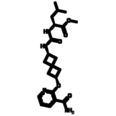 COC(=O)[C@H](CC(C)C)NC(=O)N[C@H]1CC2(C1)C[C@H](Oc1ncccc1C(N)=O)C2